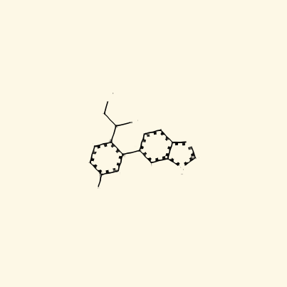 Clc1ccc(C(I)CI)c(-c2ccc3scnc3c2)c1